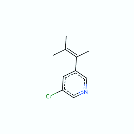 CC(C)=C(C)c1cncc(Cl)c1